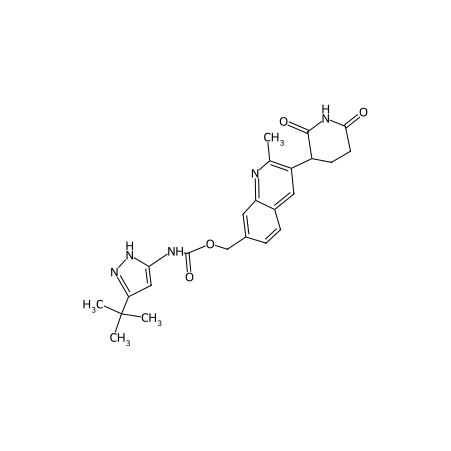 Cc1nc2cc(COC(=O)Nc3cc(C(C)(C)C)n[nH]3)ccc2cc1C1CCC(=O)NC1=O